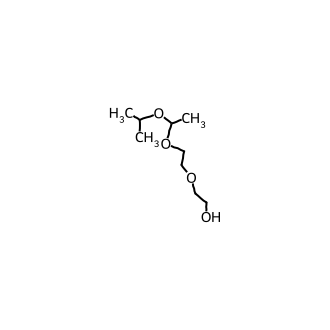 CC(C)OC(C)OCCOCCO